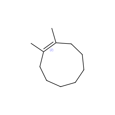 C/C1=C(\C)CCCCCCC1